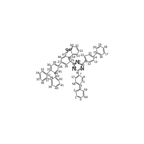 c1ccc(-c2ccc(-c3nc(-c4ccc(-c5ccccc5)cc4)nc(-c4cc(-c5ccc6c7ccccc7c7ccccc7c6c5)cc5sc6ccccc6c45)n3)cc2)cc1